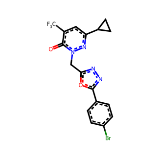 O=c1c(C(F)(F)F)cc(C2CC2)nn1Cc1nnc(-c2ccc(Br)cc2)o1